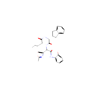 CC[C@@H](C)[C@@H]1C(=O)N[C@H](C2Cc3ccccc3C2)C(=O)N1C(C(=O)Nc1ccccc1O)c1coc(C)n1